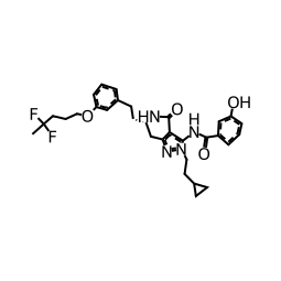 CC(F)(F)CCCOc1cccc(CC[C@H]2Cc3nn(CCC4CC4)c(NC(=O)c4cccc(O)c4)c3C(=O)N2)c1